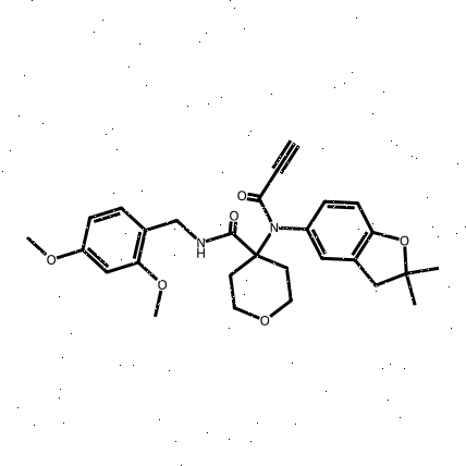 C#CC(=O)N(c1ccc2c(c1)CC(C)(C)O2)C1(C(=O)NCc2ccc(OC)cc2OC)CCOCC1